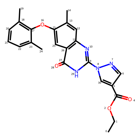 CCOC(=O)c1cnn(-c2nc3cc(C)c(Oc4c(C)cccc4C)cc3c(=O)[nH]2)c1